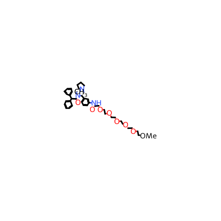 COCCOCCOCCOCCOCCOCC(=O)Nc1cccc([C@@H](CN2CCCC2)N(C)C(=O)C(c2ccccc2)c2ccccc2)c1